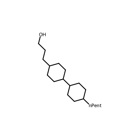 CCCCCC1CCC(C2CCC(CCCO)CC2)CC1